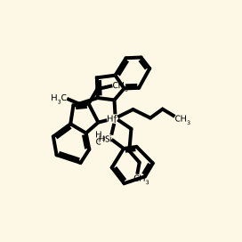 CCC[CH2][Hf]([CH2]CCC)([CH]1C(CC)=Cc2ccccc21)([CH]1C(CC)=Cc2ccccc21)[SiH](C)c1ccccc1